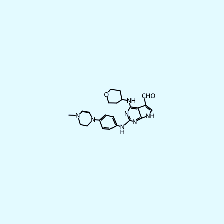 CN1CCN(c2ccc(Nc3nc(NC4CCOCC4)c4c(C=O)c[nH]c4n3)cc2)CC1